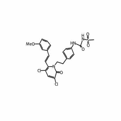 COc1cccc(C=Cc2c(Cl)cc(Cl)c(=O)n2CCc2ccc(NC(=O)NS(C)(=O)=O)cc2)c1